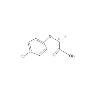 C[C@@H](Oc1ccc(Cl)cc1)C(=O)O